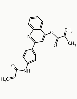 C=CC(=O)Nc1ccc(-c2cc(OC(=O)C(=C)C)c3ccccc3n2)cc1